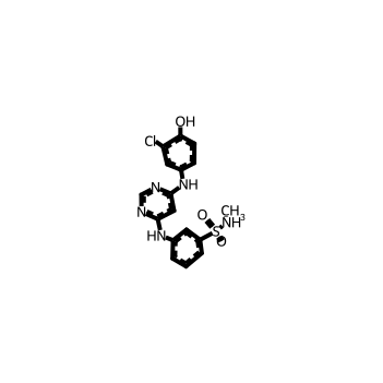 CNS(=O)(=O)c1cccc(Nc2cc(Nc3ccc(O)c(Cl)c3)ncn2)c1